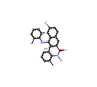 CC(=O)N(C(=O)c1cc2ccc(Br)cc2c(Nc2c(C)cccc2C)c1C(=O)O)c1c(C)cccc1C